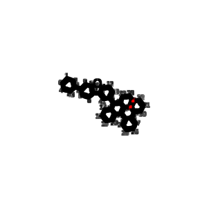 c1ccc(-c2ccc3c(c2)oc2ccc(-c4c5ccccc5c(-c5ccccc5-c5ccccc5)c5ccccc45)cc23)cc1